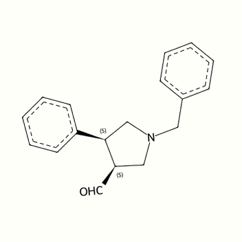 O=C[C@@H]1CN(Cc2ccccc2)C[C@@H]1c1ccccc1